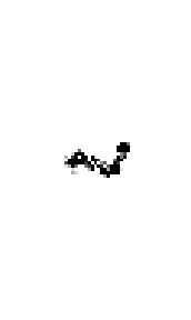 CS(=O)(=O)c1cccc(N2CCN(c3ccc4ccn(CCN5CCCC5)c4n3)CC2)c1